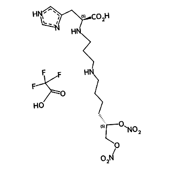 O=C(O)C(F)(F)F.O=C(O)[C@H](Cc1c[nH]cn1)NCCCNCCCC[C@@H](CO[N+](=O)[O-])O[N+](=O)[O-]